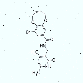 Cc1cc(C)c(CNC(=O)c2cc(Br)c3c(c2)OCC=CCO3)c(=O)[nH]1